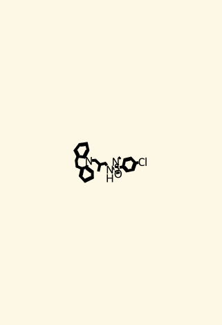 CN=S(=O)(NCC(C)CN1c2ccccc2CCc2ccccc21)c1ccc(Cl)cc1